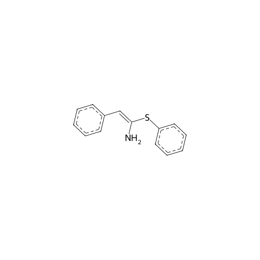 N/C(=C\c1ccccc1)Sc1ccccc1